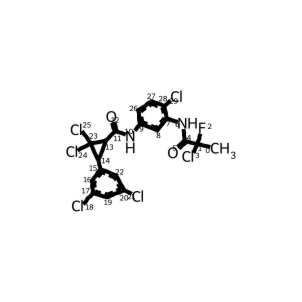 CC(F)(Cl)C(=O)Nc1cc(NC(=O)C2C(c3cc(Cl)cc(Cl)c3)C2(Cl)Cl)ccc1Cl